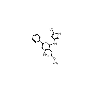 COCCc1c(N)nc(-c2ccccc2)nc1Nc1cc(C)[nH]n1